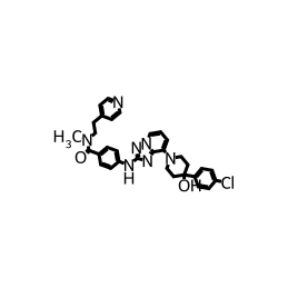 CN(CCc1ccncc1)C(=O)c1ccc(Nc2nc3c(N4CCC(O)(c5ccc(Cl)cc5)CC4)cccn3n2)cc1